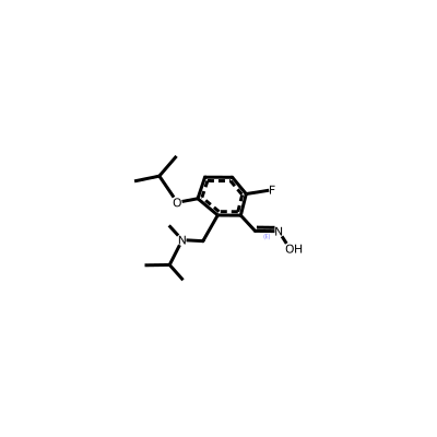 CC(C)Oc1ccc(F)c(/C=N/O)c1CN(C)C(C)C